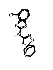 Clc1cccc2sc(NC3=NO[C@]4(C3)CN3CCC4CC3)nc12